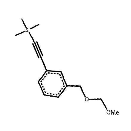 COCOCc1cccc(C#C[Si](C)(C)C)c1